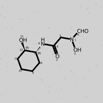 O=CN(O)CC(=O)N[C@@H]1CCCC[C@H]1O